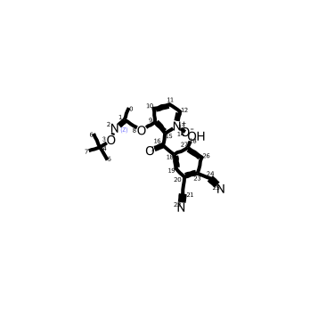 C/C(=N/OC(C)(C)C)Oc1ccc[n+]([O-])c1C(=O)c1cc(C#N)c(C#N)cc1O